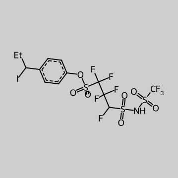 CCC(I)c1ccc(OS(=O)(=O)C(F)(F)C(F)(F)C(F)S(=O)(=O)NS(=O)(=O)C(F)(F)F)cc1